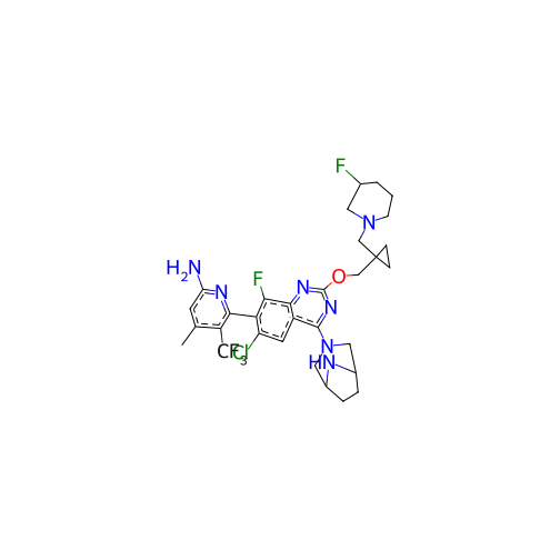 Cc1cc(N)nc(-c2c(Cl)cc3c(N4CC5CCC(C4)N5)nc(OCC4(CN5CCCC(F)C5)CC4)nc3c2F)c1C(F)(F)F